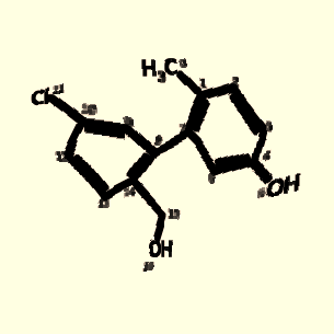 Cc1ccc(O)cc1-c1cc(Cl)ccc1CO